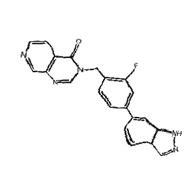 O=c1c2ccncc2ncn1Cc1ccc(C2=CC3NN=CC3C=C2)cc1F